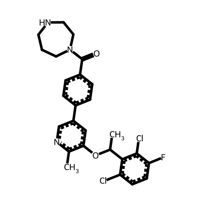 Cc1ncc(-c2ccc(C(=O)N3CCCNCC3)cc2)cc1OC(C)c1c(Cl)ccc(F)c1Cl